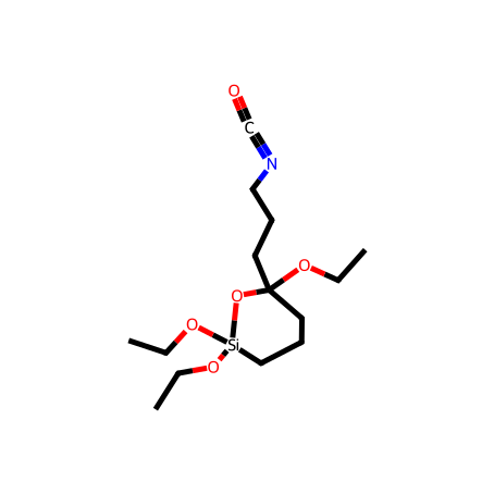 CCOC1(CCCN=C=O)CCC[Si](OCC)(OCC)O1